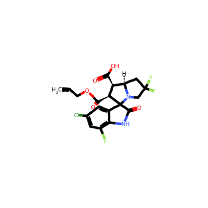 C=CCOC(=O)[C@H]1[C@@H](C(=O)O)[C@H]2CC(F)(F)CN2C12C(=O)Nc1c(F)cc(Cl)cc12